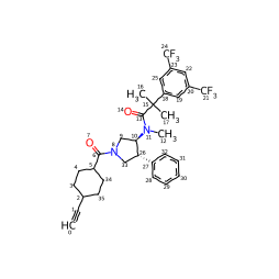 C#CC1CCC(C(=O)N2C[C@@H](N(C)C(=O)C(C)(C)c3cc(C(F)(F)F)cc(C(F)(F)F)c3)[C@H](c3ccccc3)C2)CC1